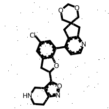 Clc1cc2c(c(-c3ccnc4c3CC3(COCOC3)C4)c1)OC(c1onc3c1CNCC3)C2